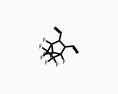 C=CC1C(C=C)C2(F)C(F)(F)C(F)(F)C1(F)C2(F)F